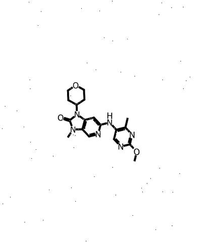 COc1ncc(Nc2cc3c(cn2)n(C)c(=O)n3C2CCOCC2)c(C)n1